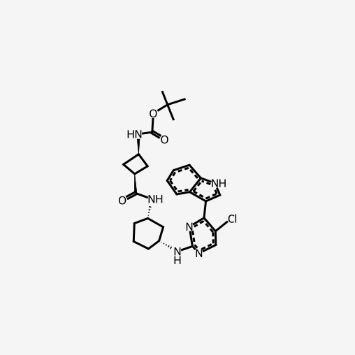 CC(C)(C)OC(=O)N[C@H]1C[C@@H](C(=O)N[C@H]2CCC[C@@H](Nc3ncc(Cl)c(-c4c[nH]c5ccccc45)n3)C2)C1